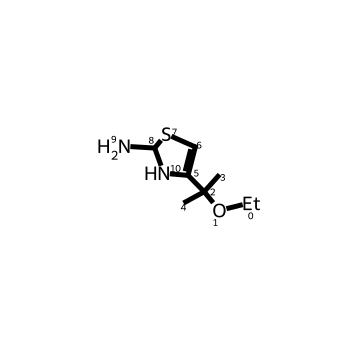 CCOC(C)(C)C1=CSC(N)N1